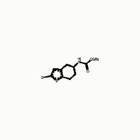 COC(=O)NC1CCc2sc(Cl)cc2C1